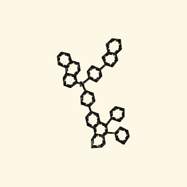 c1ccc(-c2c(-c3ccccc3)c3cc(-c4ccc(N(c5ccc(-c6ccc7ccccc7c6)cc5)c5cccc6c5ccc5ccccc56)cc4)ccc3c3ccccc23)cc1